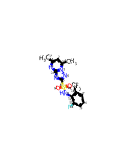 Cc1cc(C)n2nc(S(=O)(=O)Nc3c(F)cccc3C(F)(F)F)nc2n1